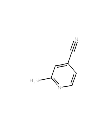 N#Cc1ccnc([SiH3])c1